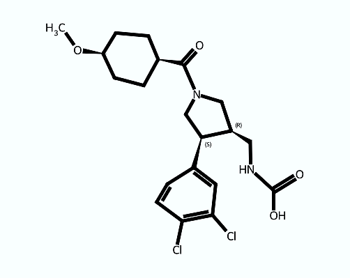 CO[C@H]1CC[C@@H](C(=O)N2C[C@@H](CNC(=O)O)[C@@H](c3ccc(Cl)c(Cl)c3)C2)CC1